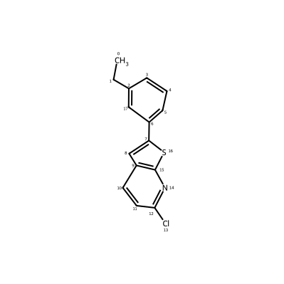 CCc1cccc(-c2cc3ccc(Cl)nc3s2)c1